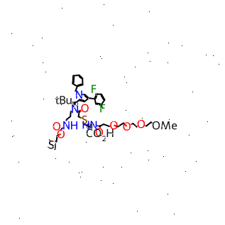 COCCOCCOCCOCCC(=O)N[C@@H](CSCC(=O)N(CCCNC(=O)OCC[Si](C)(C)C)[C@@H](c1cc(-c2cc(F)ccc2F)cn1Cc1ccccc1)C(C)(C)C)C(=O)O